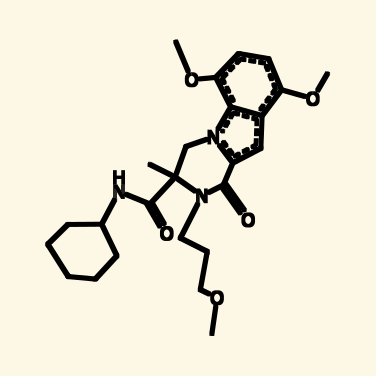 COCCCN1C(=O)c2cc3c(OC)ccc(OC)c3n2CC1(C)C(=O)NC1CCCCC1